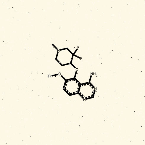 CC(C)Oc1ccc2ncnc(N)c2c1OC1CCN(C)CC1(F)F